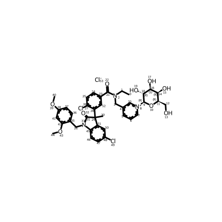 CCN(Cc1ccc[n+]([C@@H]2O[C@H](CO)[C@H](O)[C@H](O)[C@H]2O)c1)C(=O)c1ccc(Cl)c(C2(C)C(=O)N(Cc3ccc(OC)cc3OC)c3ccc(Cl)cc32)c1.[Cl-]